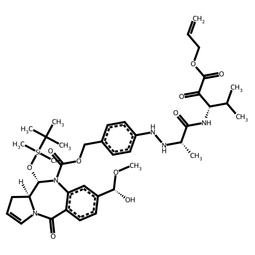 C=CCOC(=O)C(=O)[C@@H](NC(=O)[C@H](C)NNc1ccc(COC(=O)N2c3cc([C@@H](O)OC)ccc3C(=O)N3C=CC[C@H]3[C@@H]2O[Si](C)(C)C(C)(C)C)cc1)C(C)C